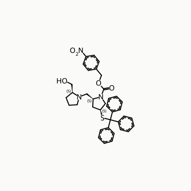 O=C(OCc1ccc([N+](=O)[O-])cc1)N1C[C@@H](SC(c2ccccc2)(c2ccccc2)c2ccccc2)C[C@H]1CN1CCC[C@H]1CO